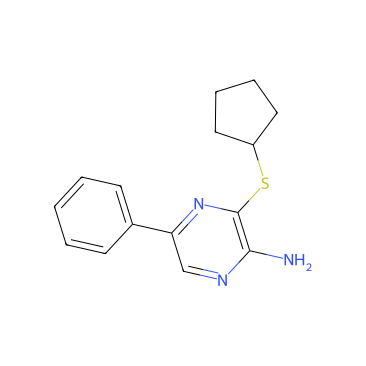 Nc1ncc(-c2ccccc2)nc1SC1CCCC1